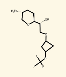 N[C@@H]1CC[C@@H]([C@H](O)COC2CC(OC(F)(F)F)C2)OC1